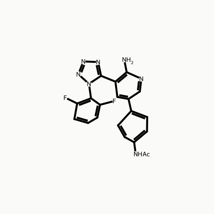 CC(=O)Nc1ccc(-c2cnc(N)c(-c3nnnn3-c3c(F)cccc3F)c2)cc1